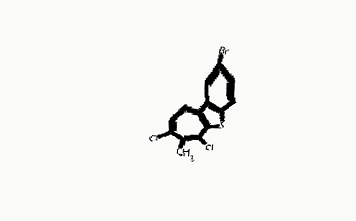 CC1=C(Cl)c2sc3ccc(Br)cc3c2CC=C1Cl